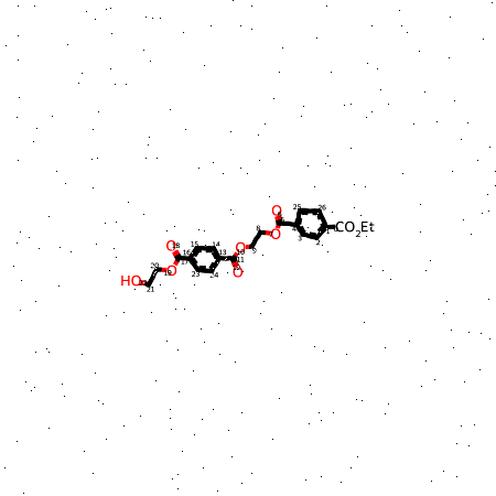 CCOC(=O)c1ccc(C(=O)OCCOC(=O)c2ccc(C(=O)OCCO)cc2)cc1